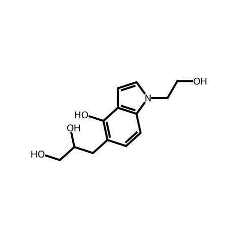 OCCn1ccc2c(O)c(CC(O)CO)ccc21